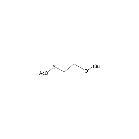 CC(=O)OSCCOC(C)(C)C